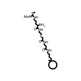 C/N=C(/NC)NCCCC(N)C(=O)NCCSCC(=O)NCCC(=O)NCCCCC1(C)CCCCCCCCC1